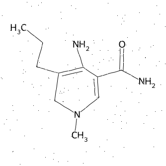 CCCC1=C(N)C(C(N)=O)=CN(C)C1